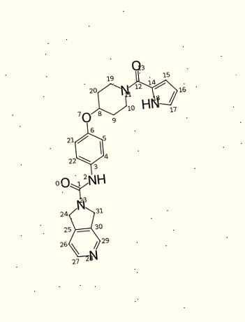 O=C(Nc1ccc(OC2CCN(C(=O)c3ccc[nH]3)CC2)cc1)N1Cc2ccncc2C1